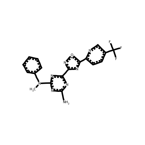 CN(c1ccccc1)c1nc(N)nc(-c2noc(-c3ccc(C(F)(F)F)cn3)n2)n1